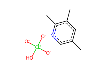 Cc1cnc(C)c(C)c1.[O-][Cl+3]([O-])([O-])O